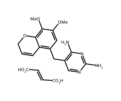 COc1cc(Cc2cnc(N)nc2N)c2c(c1OC)OCC=C2.O=C(O)C=CC(=O)O